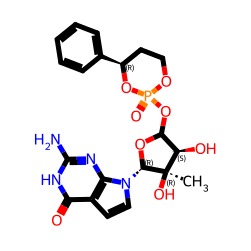 C[C@@]1(O)[C@H](O)C(OP2(=O)OCC[C@H](c3ccccc3)O2)O[C@H]1n1ccc2c(=O)[nH]c(N)nc21